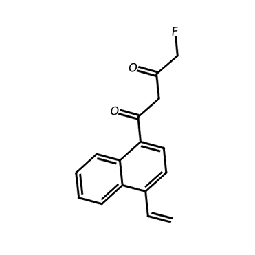 C=Cc1ccc(C(=O)CC(=O)CF)c2ccccc12